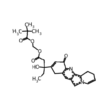 CCC(O)(CC(=O)OCOC(=O)C(C)(C)C)C1=CC(=O)c2nc3c4n(cc3cc2C1)C=CCC4